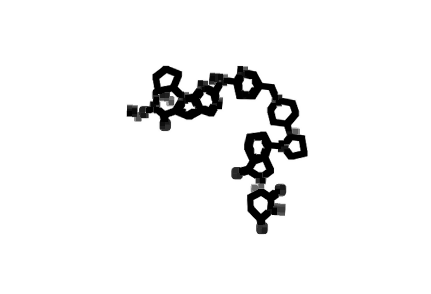 CN(C)C(=O)c1cc2cnc(Nc3ccc(CN4CCC([C@H]5CCCN5c5cccc6c5CN([C@H]5CCC(=O)NC5=O)C6=O)CC4)cn3)nc2n1C1CCCC1